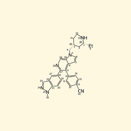 CC[C@@H]1C[C@H](Cn2ccc3c(-c4ccc(C#N)cc4)c(-c4ccc5c(cnn5C)c4)ncc32)CCN1